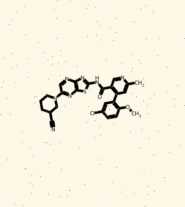 COc1ccc(Cl)cc1-c1cc(C)ncc1C(=O)Nc1nc2ncc(N3CCCC(C#N)C3)nc2s1